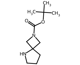 CC(C)(C)OC(=O)N1CC2(CCCN2)C1